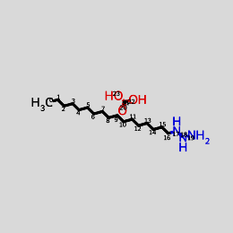 CCCCCCCCCCCCCCCCCNNN.O=C(O)O